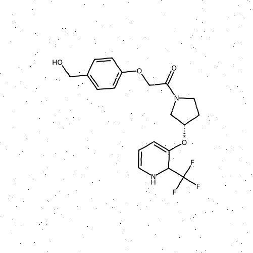 O=C(COc1ccc(CO)cc1)N1CC[C@H](OC2=CC=CNC2C(F)(F)F)C1